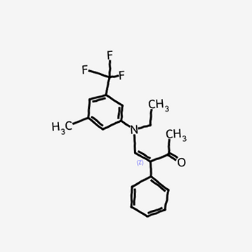 CCN(/C=C(\C(C)=O)c1ccccc1)c1cc(C)cc(C(F)(F)F)c1